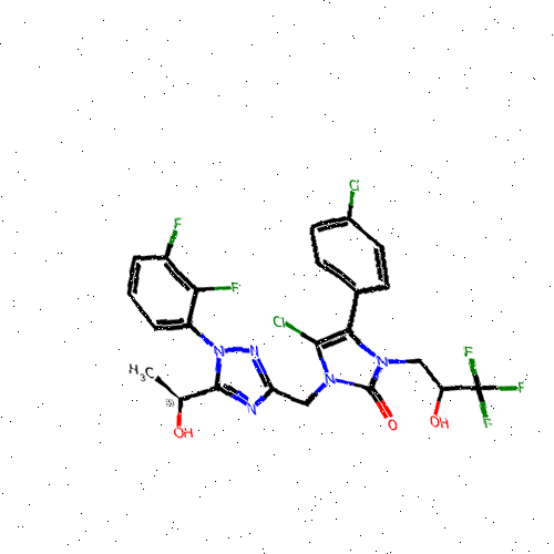 C[C@H](O)c1nc(Cn2c(Cl)c(-c3ccc(Cl)cc3)n(CC(O)C(F)(F)F)c2=O)nn1-c1cccc(F)c1F